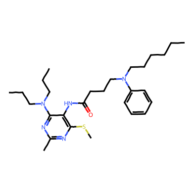 CCCCCCN(CCCC(=O)Nc1c(SC)nc(C)nc1N(CCC)CCC)c1ccccc1